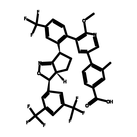 COc1ncc(-c2ccc(C(=O)O)cc2C)cc1-c1ccc(C(F)(F)F)cc1[C@@H]1CC[C@@H]2C1=NO[C@@H]2c1cc(C(F)(F)F)cc(C(F)(F)F)c1